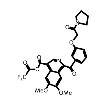 COc1cc2c(C(=O)OC(=O)C(F)(F)F)cnc(C(=O)c3cccc(OCC(=O)N4CCCC4)c3)c2cc1OC